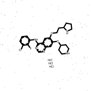 Cl.Cl.Cl.Fc1c(Cl)cccc1Nc1ncnc2cc(OC3CCNCC3)c(OCCC3CCCN3)cc12